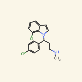 CNCCC(c1ccc(Cl)cc1)n1ccc2cccc(Cl)c21